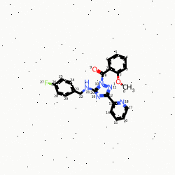 COc1ccccc1C(=O)n1nc(-c2ccccn2)nc1NCc1ccc(F)cc1